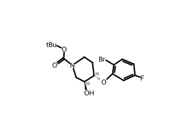 CC(C)(C)OC(=O)N1CC[C@H](Oc2cc(F)ccc2Br)[C@@H](O)C1